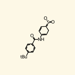 CC(C)(C)c1ccc(C(=O)NC2=CCC(=S(=O)=O)C=C2)cc1